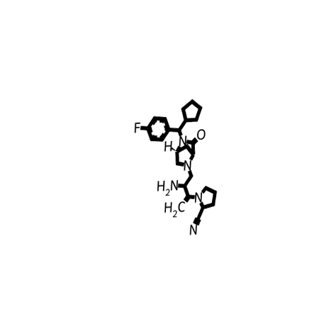 C=C(C(N)CN1C[C@@H]2CC1C(=O)N2C(c1ccc(F)cc1)C1CCCC1)N1CCCC1C#N